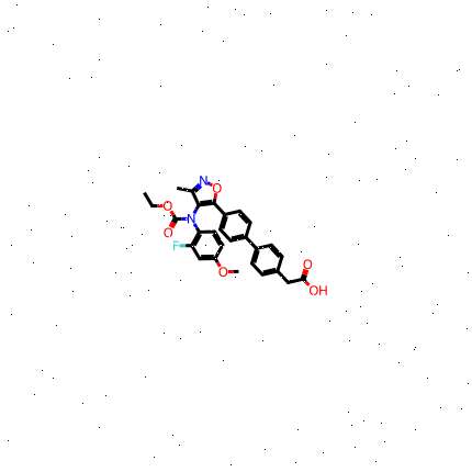 CCOC(=O)N(c1ccc(OC)cc1F)c1c(C)noc1-c1ccc(-c2ccc(CC(=O)O)cc2)cc1